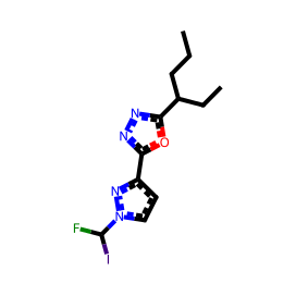 CCCC(CC)c1nnc(-c2ccn(C(F)I)n2)o1